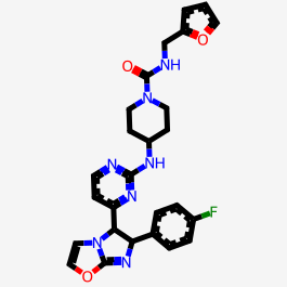 O=C(NCc1ccco1)N1CCC(Nc2nccc(C3C(c4ccc(F)cc4)N=C4OC=CN43)n2)CC1